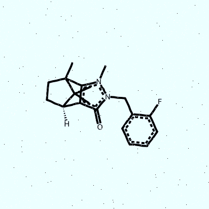 Cn1c2c(c(=O)n1Cc1ccccc1F)[C@H]1CCC2(C)C1(C)C